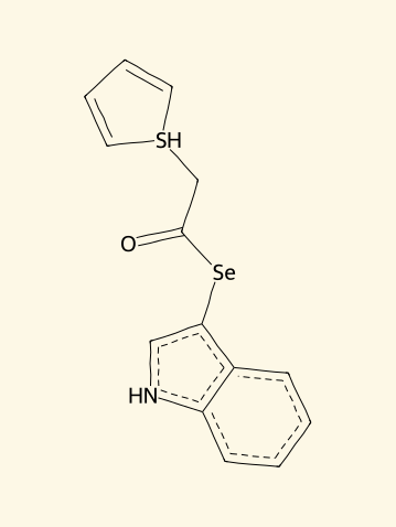 O=C(C[SH]1C=CC=C1)[Se]c1c[nH]c2ccccc12